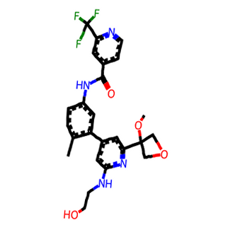 COC1(c2cc(-c3cc(NC(=O)c4ccnc(C(F)(F)F)c4)ccc3C)cc(NCCO)n2)COC1